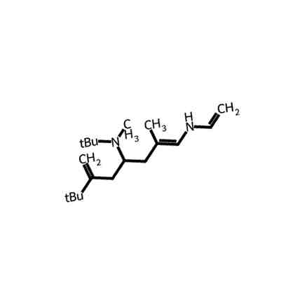 C=CN/C=C(\C)CC(CC(=C)C(C)(C)C)N(C)C(C)(C)C